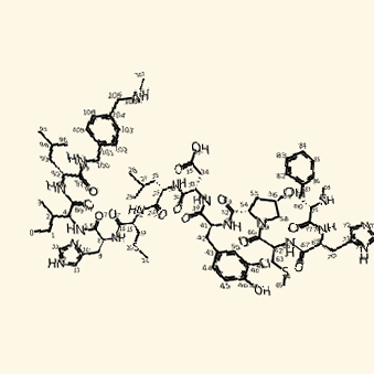 CCC(C)[C@H](NC(=O)[C@H](Cc1c[nH]cn1)NC(=O)[C@H](CSC)NC(=O)[C@H](CC(C)C)NC(=O)[C@H](CC(=O)O)NC(=O)[C@H](Cc1ccc(O)c(Cl)c1)NC(=O)[C@@H]1C[C@@H](O)CN1C(=O)[C@H](CSC)NC(=O)[C@H](Cc1cnc[nH]1)NC(=O)[C@H](Cc1ccccc1)NC)C(=O)N[C@@H](CC(C)C)C(=O)NCc1ccc(CNC)cc1